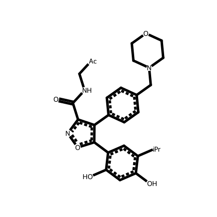 CC(=O)CNC(=O)c1noc(-c2cc(C(C)C)c(O)cc2O)c1-c1ccc(CN2CCOCC2)cc1